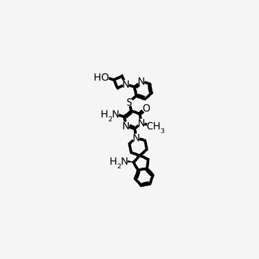 Cn1c(N2CCC3(CC2)Cc2ccccc2[C@H]3N)nc(N)c(Sc2cccnc2N2CC(O)C2)c1=O